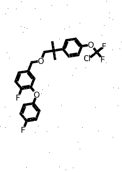 CC(C)(COCc1ccc(F)c(Oc2ccc(F)cc2)c1)c1ccc(OC(F)(F)Cl)cc1